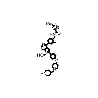 Cc1cc(-c2ncnc3c2cc(-c2ccc(OC4CCN(CC5CCNCC5)CC4)cc2)n3CO)ccc1CNC(=O)c1nc(C(C)(C)C)no1